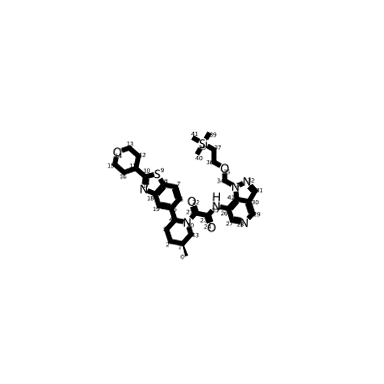 C[C@H]1CCC(c2ccc3sc(C4CCOCC4)nc3c2)N(C(=O)C(=O)Nc2cncc3cnn(COCC[Si](C)(C)C)c23)C1